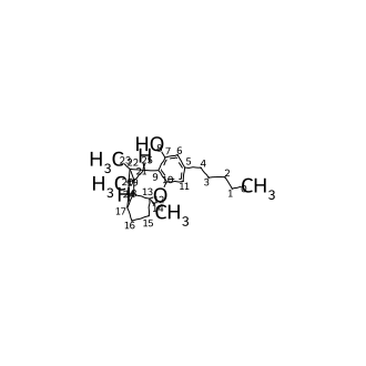 CCCCCc1cc(O)c2c(c1)O[C@]1(C)CCC3[C@@H]1C1(C)[C@@H]2C31C